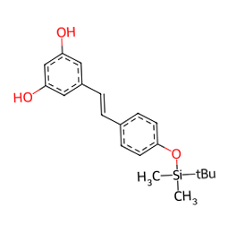 CC(C)(C)[Si](C)(C)Oc1ccc(/C=C/c2cc(O)cc(O)c2)cc1